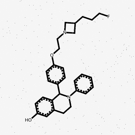 Oc1ccc2c(c1)CCN(c1ccccc1)C2c1ccc(OCCN2CC(CCCF)C2)cc1